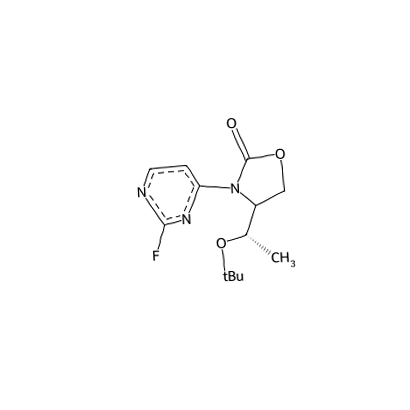 C[C@H](OC(C)(C)C)C1COC(=O)N1c1ccnc(F)n1